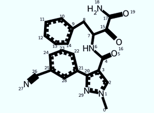 Cn1cc(C(=O)NC(Cc2ccccc2)C(=O)C(N)=O)c(-c2cccc(C#N)c2)n1